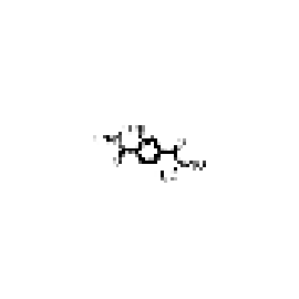 CN(N=O)C(=O)c1ccc(C(=O)N(C)N=O)c(N)c1